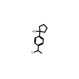 CCC(I)c1ccc(C2(O)CCCC2)cc1